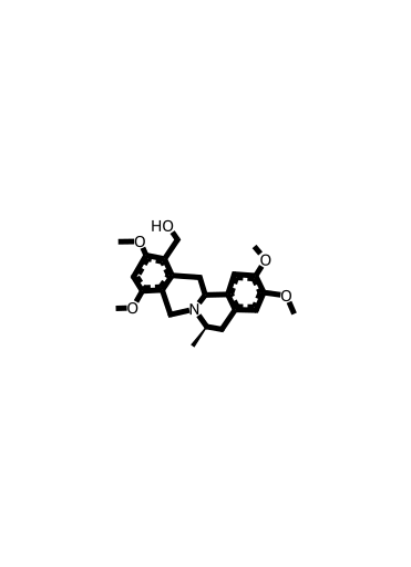 COc1cc2c(cc1OC)C1Cc3c(CO)c(OC)cc(OC)c3CN1[C@H](C)C2